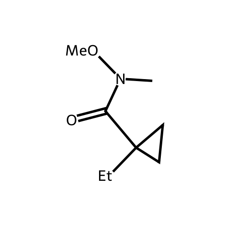 CCC1(C(=O)N(C)OC)CC1